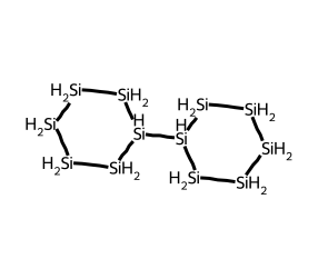 [SiH2]1[SiH2][SiH2][SiH]([SiH]2[SiH2][SiH2][SiH2][SiH2][SiH2]2)[SiH2][SiH2]1